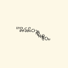 CCOC(=O)C(CC(C)C)C(=O)Nc1ccc(Cn2cc(CNS(=O)(=O)c3ccc(F)cc3)nn2)cc1